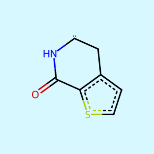 O=C1N[C]Cc2ccsc21